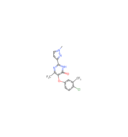 Cn1ccc(-c2nc(C(F)(F)F)c(Oc3ccc(Cl)c(C(F)(F)F)c3)c(=O)[nH]2)n1